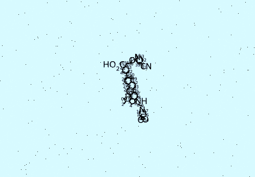 C=C(C)[C@@H]1CC[C@]2(NCCN3CCS(=O)(=O)CC3)CC[C@]3(C)[C@H](CCC4[C@@]5(C)CC=C(C6=CCC(CCOc7cc(C#N)ccn7)(C(=O)O)CC6)C(C)(C)C5CC[C@]43C)C12